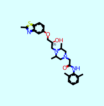 Cc1nc2cc(OC[C@@H](O)CN3C(C)CN(CC(=O)Nc4c(C)cccc4C)CC3C)ccc2s1